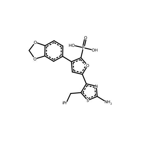 CC(C)Cc1sc(N)nc1-c1cc(-c2ccc3c(c2)OCO3)c(P(=O)(O)O)o1